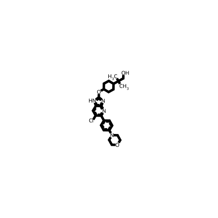 CC(C)(CO)C1CCC(Oc2nc3nc(-c4ccc(N5CCOCC5)cc4)c(Cl)cc3[nH]2)CC1